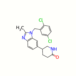 Cc1nc2ccc(C3CCC(=O)NC3)cc2n1Cc1cc(Cl)ccc1Cl